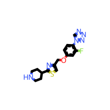 Fc1cc(OCc2csc(C3CCNCC3)n2)ccc1-n1cnnn1